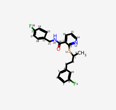 CC(CCc1cccc(F)c1)Sc1ncccc1C(=O)NCc1ccc(F)cc1